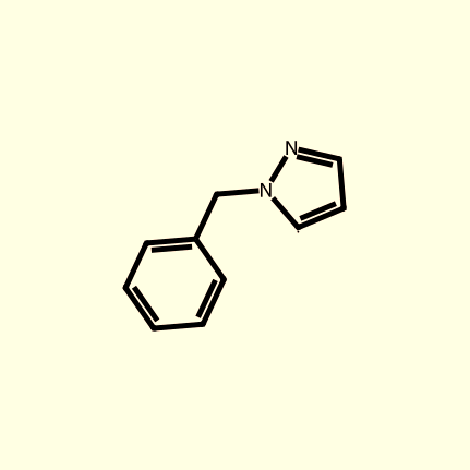 [c]1ccnn1Cc1ccccc1